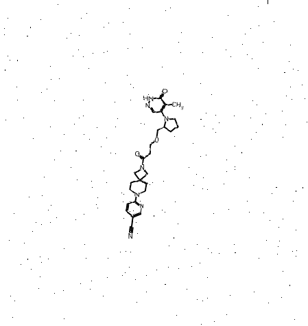 Cc1c(N2CCC[C@H]2COCCC(=O)N2CC3(CCN(c4ccc(C#N)cn4)CC3)C2)cn[nH]c1=O